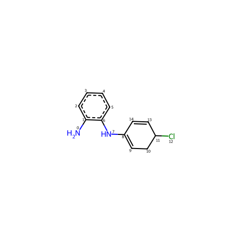 Nc1ccccc1NC1=CCC(Cl)C=C1